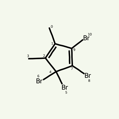 CC1=C(C)C(Br)(Br)C(Br)=C1Br